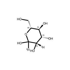 [2H]C1(O)O[C@H](CO)[C@@H](O)[C@H](O)[C@]1([2H])O